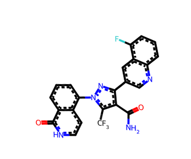 NC(=O)c1c(-c2cnc3cccc(F)c3c2)nn(-c2cccc3c(=O)[nH]ccc23)c1C(F)(F)F